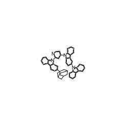 c1ccc2c(c1)c1ccccc1n2-c1ccc2c(c1)c1ccccc1n2-c1ccnc(-n2c3ccccc3c3ccc(C45CC6CC(CC(C6)C4)C5)cc32)c1